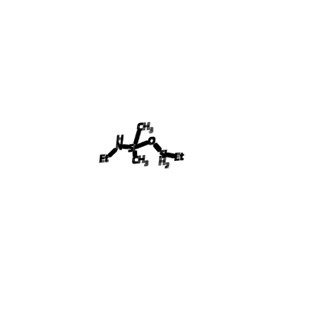 CCN[Si](C)(C)O[SiH2]CC